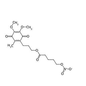 COC1=C(OC)C(=O)C(CCCOC(=O)CCCCO[N+](=O)[O-])=C(C)C1=O